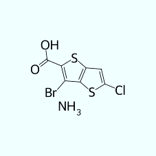 N.O=C(O)c1sc2cc(Cl)sc2c1Br